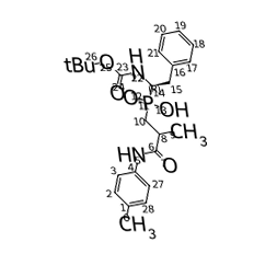 Cc1ccc(NC(=O)C(C)CP(=O)(O)[C@H](Cc2ccccc2)NC(=O)OC(C)(C)C)cc1